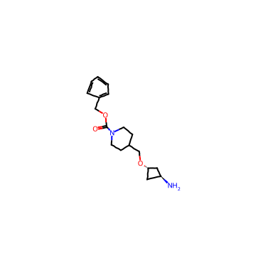 N[C@H]1C[C@H](OCC2CCN(C(=O)OCc3ccccc3)CC2)C1